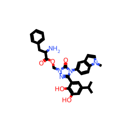 CC(C)c1cc(O)c(O)c(-c2nn(COC(=O)C(N)Cc3ccccc3)c(=O)n2-c2ccc3c(ccn3C)c2)c1